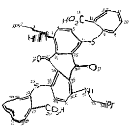 CC(C)CNc1ccc(Sc2ccccc2C(=O)O)c2c1C(=O)c1c(Sc3ccccc3C(=O)O)ccc(NCC(C)C)c1C2=O